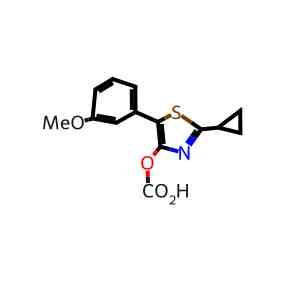 COc1cccc(-c2sc(C3CC3)nc2OC(=O)O)c1